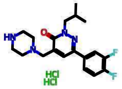 CC(C)Cn1nc(-c2ccc(F)c(F)c2)cc(CN2CCNCC2)c1=O.Cl.Cl